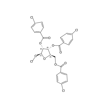 O=C(OC[C@H]1O[C@@H](OCl)[C@H](OC(=O)c2ccc(Cl)cc2)[C@@H]1OC(=O)c1ccc(Cl)cc1)c1ccc(Cl)cc1